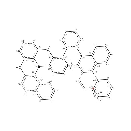 C=C/C=C\c1c(C)c(-c2ccccc2-c2cccc3c2Oc2cccc4c2B3c2c(ccc3ccccc23)O4)c2ccccc2c1-c1ccccc1